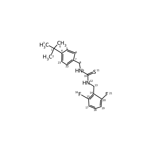 CC(C)(C)c1ccc(CNC(=S)NCc2c(F)cccc2F)cc1